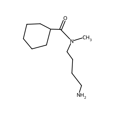 CN(CCCCN)C(=O)C1CCCCC1